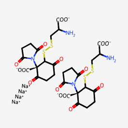 NC(CSSC1C(=O)CCC(=O)[C@]1(C(=O)[O-])N1C(=O)CCC1=O)C(=O)[O-].NC(CSSC1C(=O)CCC(=O)[C@]1(C(=O)[O-])N1C(=O)CCC1=O)C(=O)[O-].[Na+].[Na+].[Na+].[Na+]